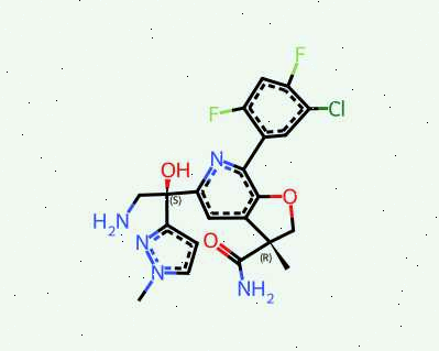 Cn1ccc([C@](O)(CN)c2cc3c(c(-c4cc(Cl)c(F)cc4F)n2)OC[C@]3(C)C(N)=O)n1